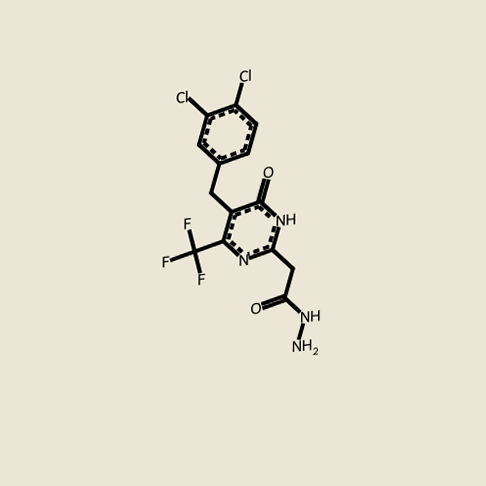 NNC(=O)Cc1nc(C(F)(F)F)c(Cc2ccc(Cl)c(Cl)c2)c(=O)[nH]1